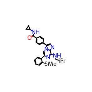 CSc1ccccc1-c1cn2c(-c3ccc(C(=O)NC4CC4)cc3)cnc2c(NCC(C)C)n1